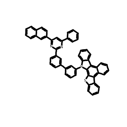 c1ccc(-c2cc(-c3ccc4ccccc4c3)nc(-c3cccc(-c4cccc(-n5c6ccccc6c6c7ccccc7c7c8ccccc8sc7c65)c4)c3)n2)cc1